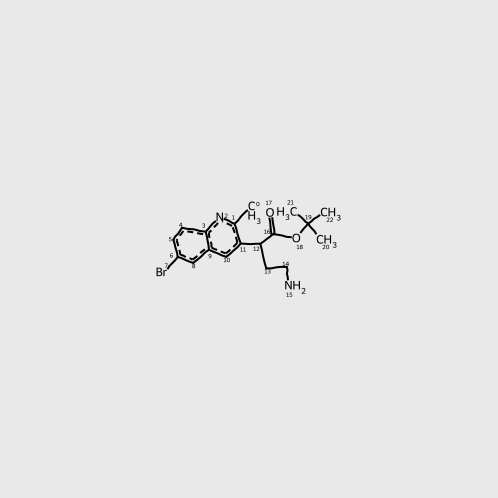 Cc1nc2ccc(Br)cc2cc1C(CCN)C(=O)OC(C)(C)C